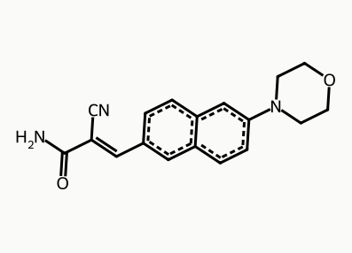 N#C/C(=C\c1ccc2cc(N3CCOCC3)ccc2c1)C(N)=O